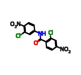 O=C(Nc1ccc([N+](=O)[O-])c(Cl)c1)c1ccc([N+](=O)[O-])cc1Cl